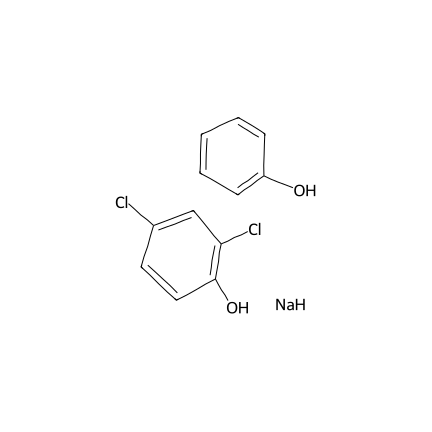 Oc1ccc(Cl)cc1Cl.Oc1ccccc1.[NaH]